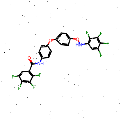 O=C(Nc1ccc(Oc2ccc(ONc3cc(F)c(F)c(F)c3F)cc2)cc1)c1cc(F)c(F)c(F)c1F